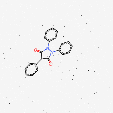 O=C1C(c2ccccc2)C(=O)N(c2ccccc2)N1c1ccccc1